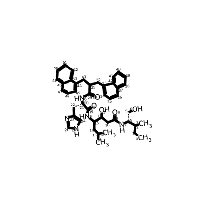 CCC(C)[C@@H](CO)NC(=O)CC(O)C(CC(C)C)NC(=O)[C@H](Cc1c[nH]cn1)NC(=O)C(Cc1cccc2ccccc12)Cc1cccc2ccccc12